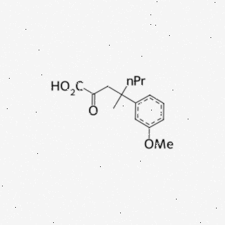 CCCC(C)(CC(=O)C(=O)O)c1cccc(OC)c1